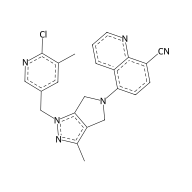 Cc1cc(Cn2nc(C)c3c2CN(c2ccc(C#N)c4ncccc24)C3)cnc1Cl